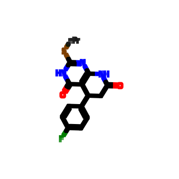 CCCSc1nc2c(c(=O)[nH]1)C(c1ccc(F)cc1)CC(=O)N2